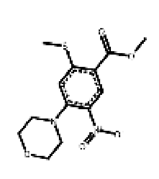 COC(=O)c1cc([N+](=O)[O-])c(N2CCOCC2)cc1SC